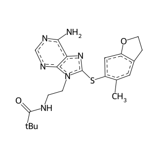 Cc1cc2c(cc1Sc1nc3c(N)ncnc3n1CCNC(=O)C(C)(C)C)OCC2